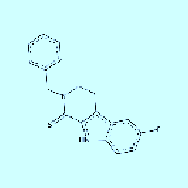 Fc1ccc2[nH]c3c(c2c1)CCN(Cc1ccccc1)C3=S